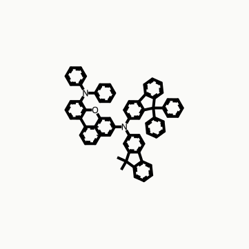 CC1(C)c2ccccc2-c2ccc(N(c3ccc4c(c3)C(c3ccccc3)(c3ccccc3)c3ccccc3-4)c3cc4c5c(cccc5c3)-c3cccc(N(c5ccccc5)c5ccccc5)c3O4)cc21